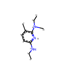 CCNc1ccc(C)c(N(C)CC)n1